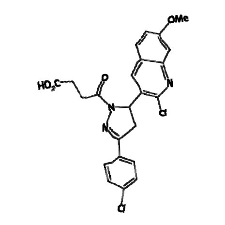 COc1ccc2cc(C3CC(c4ccc(Cl)cc4)=NN3C(=O)CCC(=O)O)c(Cl)nc2c1